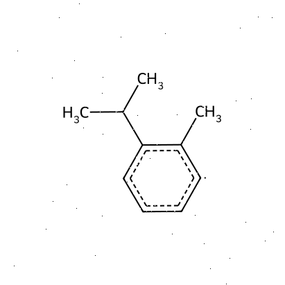 Cc1[c]cccc1C(C)C